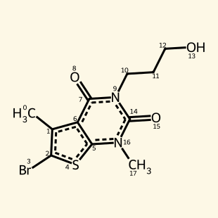 Cc1c(Br)sc2c1c(=O)n(CCCO)c(=O)n2C